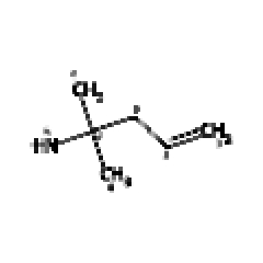 C=CCC(C)(C)[NH]